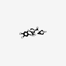 O=C1Nc2cc(Cl)c(Cl)cc2S[C@]12CCN(C(=O)[C@]13CNCC1C3)C2